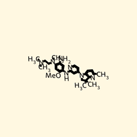 COc1cc(N(C)CCN(C)C)c(N)cc1Nc1cc(N2CC(C)(C)c3nc(C)ccc32)ccn1